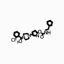 O=C(NCCc1ccccc1)Oc1ccc(N2CCN(C(=O)c3ccccc3C(F)(F)F)CC2)cn1